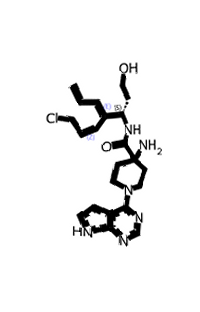 C=C/C=C(\C=C/CCl)[C@H](CCO)NC(=O)C1(N)CCN(c2ncnc3[nH]ccc23)CC1